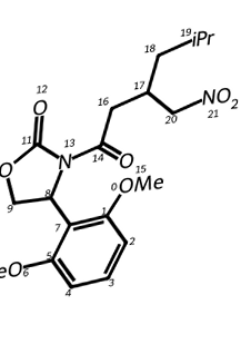 COc1cccc(OC)c1C1COC(=O)N1C(=O)CC(CC(C)C)C[N+](=O)[O-]